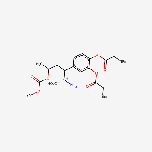 CCCOC(=O)OC(C)CC(c1ccc(OC(=O)CC(C)CC)c(OC(=O)CC(C)CC)c1)[C@H](N)C(=O)O